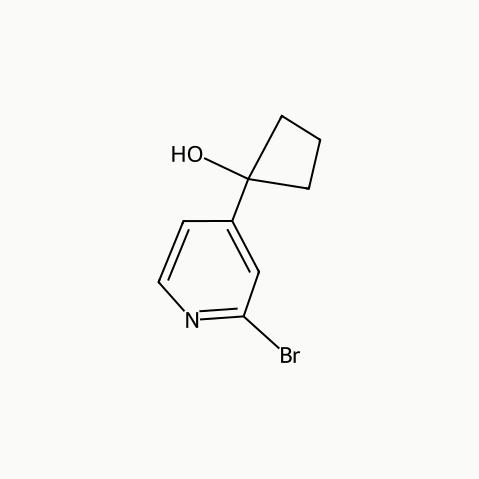 OC1(c2ccnc(Br)c2)CCC1